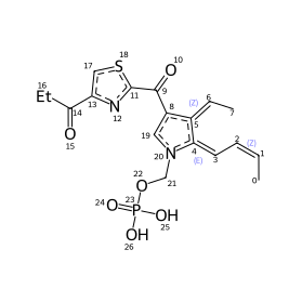 C\C=C/C=c1\c(=C/C)c(C(=O)c2nc(C(=O)CC)cs2)cn1COP(=O)(O)O